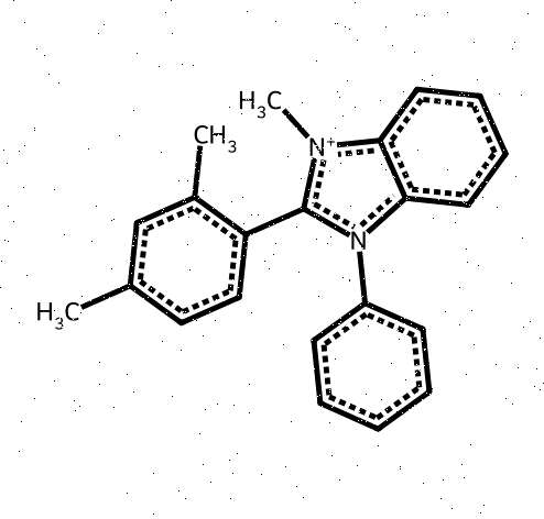 Cc1ccc(-c2n(-c3ccccc3)c3ccccc3[n+]2C)c(C)c1